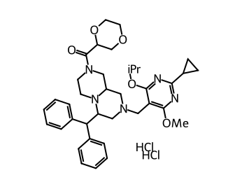 COc1nc(C2CC2)nc(OC(C)C)c1CN1CC2CN(C(=O)C3COCCO3)CCN2C(C(c2ccccc2)c2ccccc2)C1.Cl.Cl